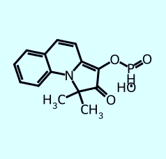 CC1(C)C(=O)C(O[PH](=O)O)=C2C=Cc3ccccc3N21